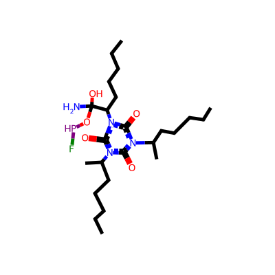 CCCCCC(C)n1c(=O)n(C(C)CCCCC)c(=O)n(C(CCCCC)C(N)(O)OPF)c1=O